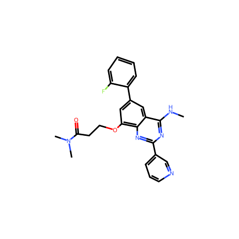 CNc1nc(-c2cccnc2)nc2c(OCCC(=O)N(C)C)cc(-c3ccccc3F)cc12